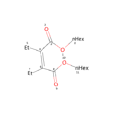 CCCCCCOC(=O)C(CC)=C(CC)C(=O)OCCCCCC